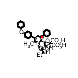 CCNC(=O)[C@H]1OC(C(=O)O)(C(=O)O)O[C@@H]1C(=O)N(CC(=O)O)[C@H](C)[C@H](CCc1ccccc1)c1ccc(Oc2ccccc2)cc1